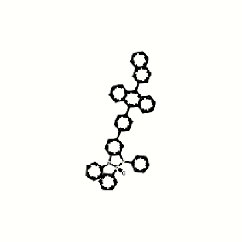 O=P1(c2ccccc2)N(c2ccccc2)c2ccc(-c3ccc(-c4c5ccccc5c(-c5ccc6ccccc6c5)c5ccccc45)cc3)cc2N1c1ccccc1